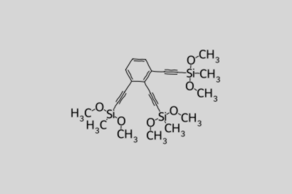 CO[Si](C)(C#Cc1cccc(C#C[Si](C)(OC)OC)c1C#C[Si](C)(OC)OC)OC